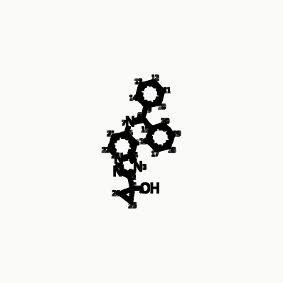 OC1(c2nc3cc(N=C(c4ccccc4)c4ccccc4)ccn3n2)CC1